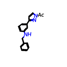 CC(=O)n1ccc(-c2cccc(NCc3ccccc3)c2)n1